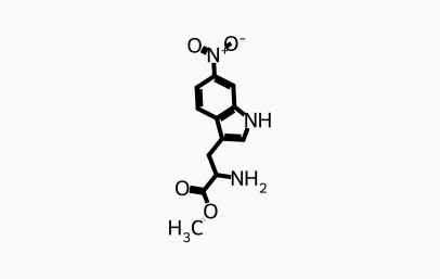 COC(=O)C(N)Cc1c[nH]c2cc([N+](=O)[O-])ccc12